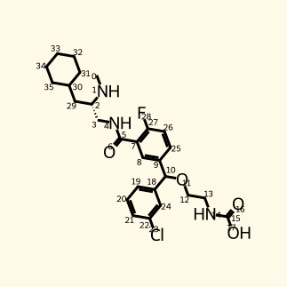 CN[C@H](CNC(=O)c1cc(C(OCCNC(=O)O)c2cccc(Cl)c2)ccc1F)CC1CCCCC1